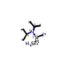 CC(C)N(C(C)C)[SiH]([SiH3])I